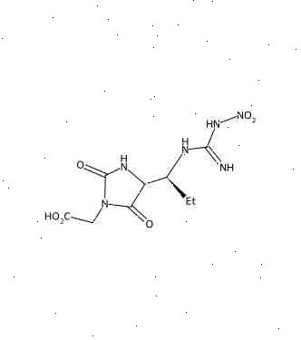 CC[C@H](NC(=N)N[N+](=O)[O-])C1NC(=O)N(CC(=O)O)C1=O